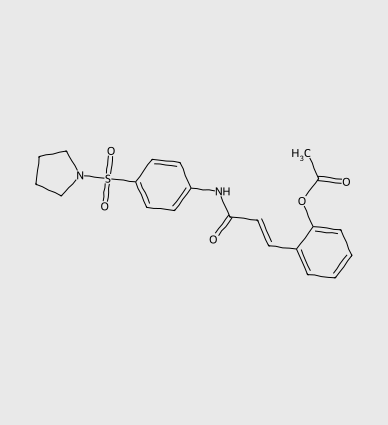 CC(=O)Oc1ccccc1C=CC(=O)Nc1ccc(S(=O)(=O)N2CCCC2)cc1